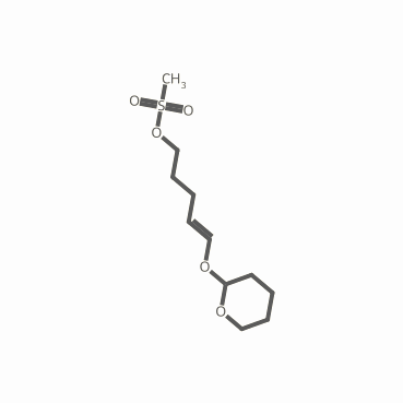 CS(=O)(=O)OCCCC=COC1CCCCO1